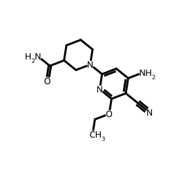 CCOc1nc(N2CCCC(C(N)=O)C2)cc(N)c1C#N